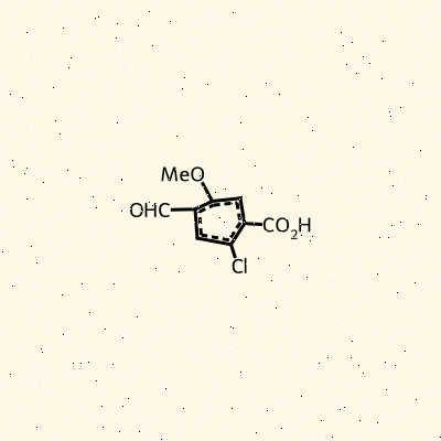 COc1cc(C(=O)O)c(Cl)cc1C=O